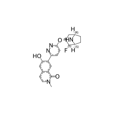 Cn1ccc2cc(O)c(-c3ccc(O[C@@H]4C[C@H]5CC[C@H](N5)[C@@H]4F)nn3)cc2c1=O